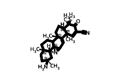 CC1(C)C(=O)C(C#N)=C[C@]2(C)C3=CC4=N[C@@]45C(CC[C@@]4(C)CC[C@](C)(N)C[C@H]45)[C@]3(C)CC[C@@H]12